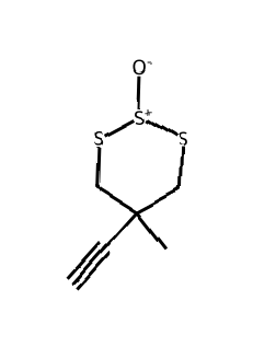 C#CC1(C)CS[S+]([O-])SC1